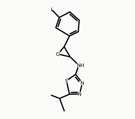 CC(C)c1nnc(NC2OC2c2cccc(I)c2)s1